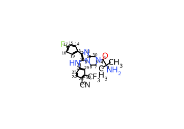 CC(C)(N)C(=O)N1CCn2c(nc(-c3ccc(F)cc3)c2Nc2ccc(C#N)c(C(F)(F)F)c2)C1